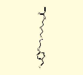 C=CC(=O)OCCOCCOCCOc1ccc(C=O)cc1